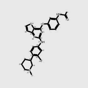 CC(=O)Nc1cccc(Oc2nc(Nc3ccc(C4CCCN(C)C4)c(F)c3)nc3ccsc23)c1